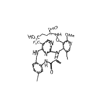 C=CC(=O)Nc1cc(C)ccc1Nc1nc(Nc2c(C)cnc(OC)c2ON[C@H](C=O)CCC(=O)O)ncc1C(F)(F)F